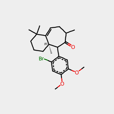 COc1cc(Br)c(C2C(=O)C(C)CC=C3C(C)(C)CCC[C@@]32C)cc1OC